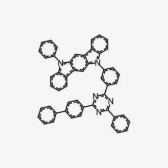 c1ccc(-c2ccc(-c3nc(-c4ccccc4)nc(-c4cccc(-n5c6ccccc6c6cc7c(cc65)c5ccccc5n7-c5ccccc5)c4)n3)cc2)cc1